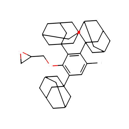 CCc1cc(C23CC4CC(CC(C4)C2)C3)c(OCC2CO2)c(C23CC4CC(CC(C4)C2)C3)c1C12CC3CC(CC(C3)C1)C2